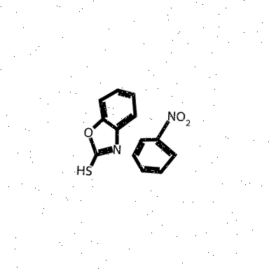 O=[N+]([O-])c1ccccc1.Sc1nc2ccccc2o1